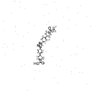 Cc1cc(-c2cn(-c3ccc(C4=CCN(C(=O)O)CC4)cc3)nn2)ccc1C1=CCN(C(=O)OC(C)(C)C)CC1